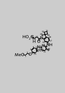 COCCOc1ccc(Nc2ncc(F)c(Nc3ccc4c(c3)N(C(=O)CNC(=O)O)CC43CCC3)n2)cc1